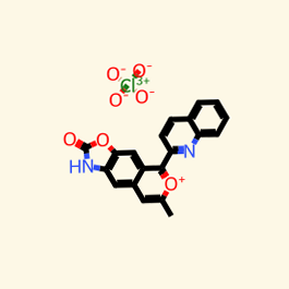 Cc1cc2cc3[nH]c(=O)oc3cc2c(-c2ccc3ccccc3n2)[o+]1.[O-][Cl+3]([O-])([O-])[O-]